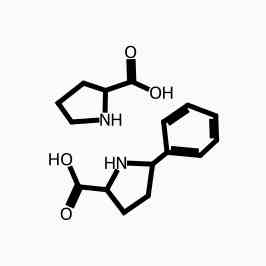 O=C(O)C1CCC(c2ccccc2)N1.O=C(O)C1CCCN1